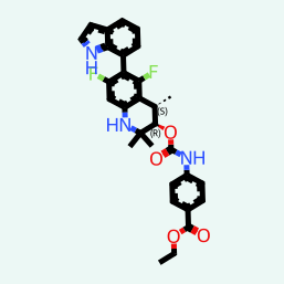 CCOC(=O)c1ccc(NC(=O)O[C@@H]2[C@@H](C)c3c(cc(F)c(-c4cccc5cc[nH]c45)c3F)NC2(C)C)cc1